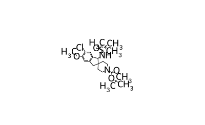 COc1cc2c(cc1Cl)[C@@H](N[S@+]([O-])C(C)(C)C)C1(CCN(C(=O)OC(C)(C)C)CC1)C2